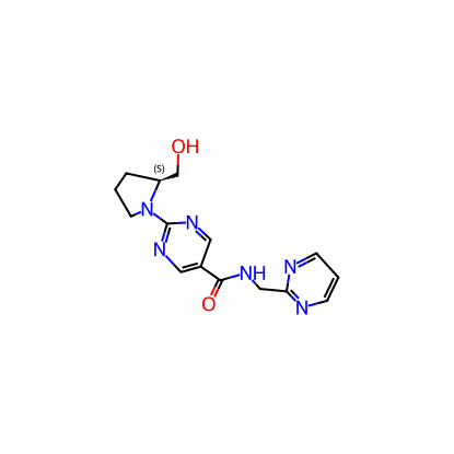 O=C(NCc1ncccn1)c1cnc(N2CCC[C@H]2CO)nc1